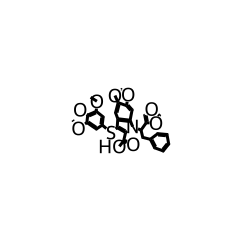 COc1cc(Sc2c(C(=O)O)n(C(Cc3ccccc3)C3=COCO3)c3cc4c(cc23)OCO4)cc(OC)c1OC